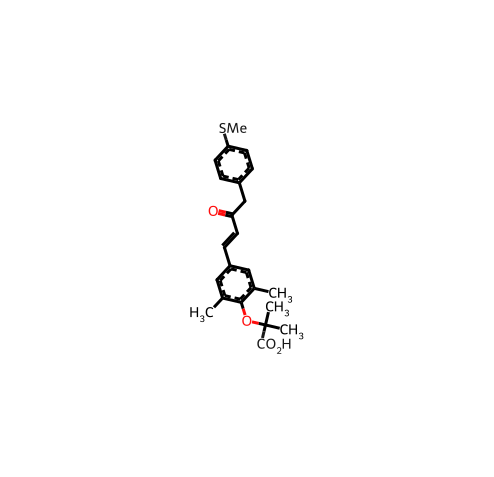 CSc1ccc(CC(=O)/C=C/c2cc(C)c(OC(C)(C)C(=O)O)c(C)c2)cc1